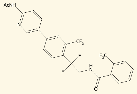 CC(=O)Nc1ccc(-c2ccc(C(F)(F)CNC(=O)c3ccccc3C(F)(F)F)c(C(F)(F)F)c2)cn1